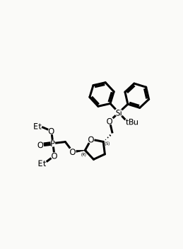 CCOP(=O)(CO[C@@H]1CC[C@@H](CO[Si](c2ccccc2)(c2ccccc2)C(C)(C)C)O1)OCC